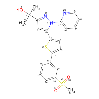 CC(C)(O)c1cc(-c2ccc(-c3cccc(S(C)(=O)=O)c3)s2)n(-c2ccccn2)n1